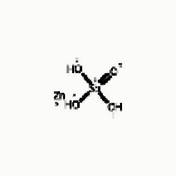 [O]=[Sb]([OH])([OH])[OH].[Zn]